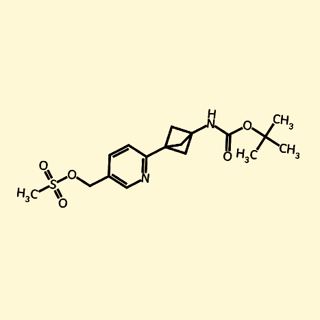 CC(C)(C)OC(=O)NC12CC(c3ccc(COS(C)(=O)=O)cn3)(C1)C2